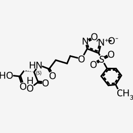 Cc1ccc(S(=O)(=O)c2c(OCCCC(=O)N[C@@H](CC(=O)O)C(=O)O)no[n+]2[O-])cc1